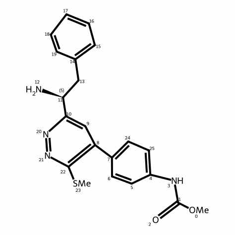 COC(=O)Nc1ccc(-c2cc([C@@H](N)Cc3ccccc3)nnc2SC)cc1